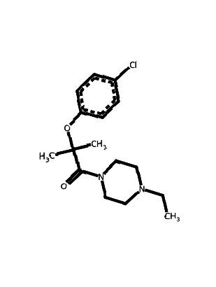 CCN1CCN(C(=O)C(C)(C)Oc2ccc(Cl)cc2)CC1